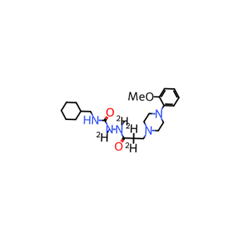 [2H]N(C(=O)NCC1CCCCC1)N([2H])C(=O)C([2H])([2H])CN1CCN(c2ccccc2OC)CC1